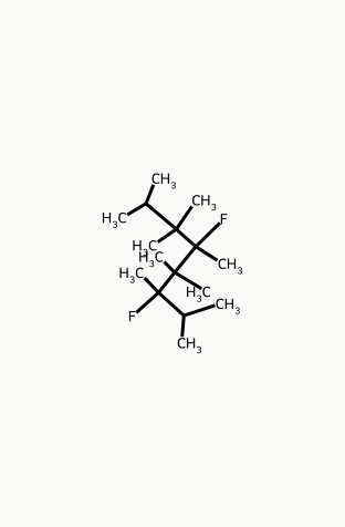 CC(C)C(C)(C)C(C)(F)C(C)(C)C(C)(F)C(C)C